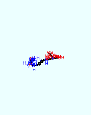 N=C(NCCCCc1ccc(-c2ccc(CCCNC(=O)CCCCCN(CC(O)C[C@H](O)CCO)CC(O)C(O)C(O)CCO)cc2)cc1)NC(=O)c1nc(-n2ccc(N)nc2=O)c(N)nc1N